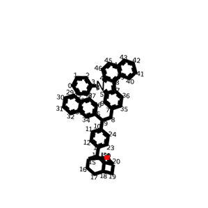 c1ccc(-n2c3cc(CC(c4ccc(C5C6CCC7CC(C6)[C@H]75)cc4)c4ccc5ccccc5c4)ccc3c3c4ccccc4ccc32)cc1